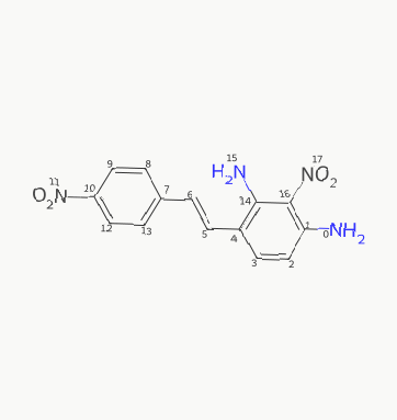 Nc1ccc(C=Cc2ccc([N+](=O)[O-])cc2)c(N)c1[N+](=O)[O-]